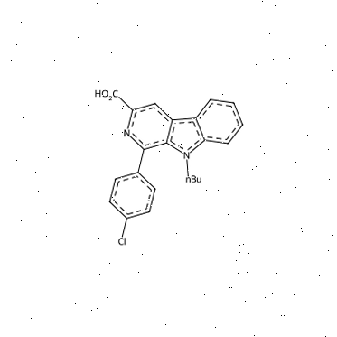 CCCCn1c2ccccc2c2cc(C(=O)O)nc(-c3ccc(Cl)cc3)c21